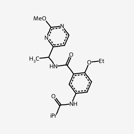 CCOc1ccc(NC(=O)C(C)C)cc1C(=O)NC(C)c1ccnc(OC)n1